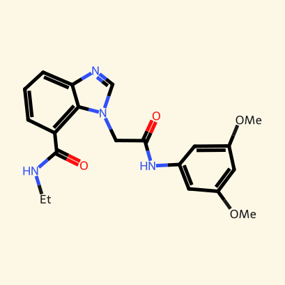 CCNC(=O)c1cccc2ncn(CC(=O)Nc3cc(OC)cc(OC)c3)c12